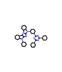 c1ccc(-c2nc(-c3ccccc3)nc(-c3cccc(-n4c5ccccc5n5c6c7ccccc7n(-c7ccccc7)c6nc45)c3)n2)cc1